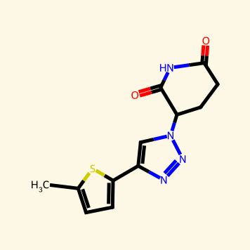 Cc1ccc(-c2cn(C3CCC(=O)NC3=O)nn2)s1